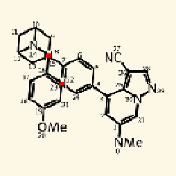 CNc1cc(-c2ccc(N3CC4CC(C3)N4Cc3ccc(OC)cc3)nc2)c2c(C#N)cnn2c1